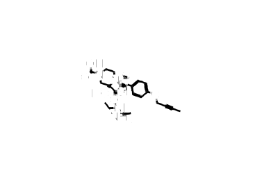 CC#CCOc1ccc(S(=O)(=O)N2CCN(C(=O)O)CC2(O)C(=O)O)cc1.CCNCC.N